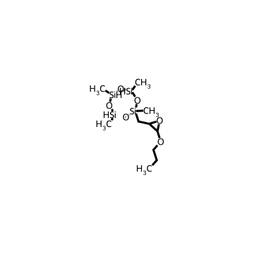 CCCOC1OC1C[Si]1(C)O[SiH](C)O[SiH](C)O[SiH](C)O1